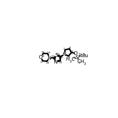 CC(C)(C)[Si](C)(C)OC1CCN(c2cnc(N3CCOCC3)s2)C1